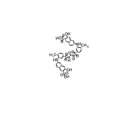 Cc1ccc(S(=O)(=O)NC(=O)NS(=O)(=O)c2ccc(C)c(Nc3ccc4cc(S(=O)(=O)O)c(O)cc4c3)c2)cc1Nc1ccc2cc(S(=O)(=O)O)c(O)cc2c1